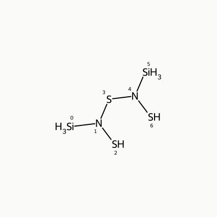 [SiH3]N(S)SN([SiH3])S